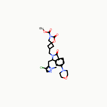 Cn1ncc(Cl)c1CC1c2cc(N3CCOCC3)ccc2C(=O)N1CC1CC2(C1)CN(C(=O)OC(C)(C)C)C(=O)O2